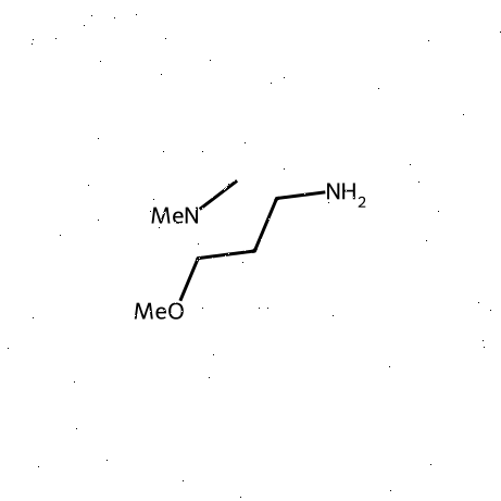 CNC.COCCCN